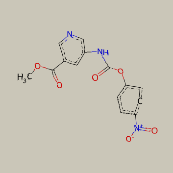 COC(=O)c1cncc(NC(=O)Oc2ccc([N+](=O)[O-])cc2)c1